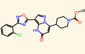 CC(C)(C)OC(=O)N1CCC(c2cc(=O)[nH]c3c(-c4nc(-c5ccccc5Cl)no4)cnn23)CC1